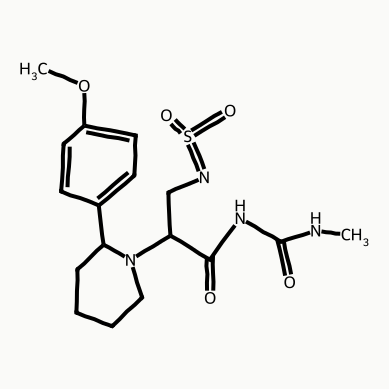 CNC(=O)NC(=O)C(CN=S(=O)=O)N1CCCCC1c1ccc(OC)cc1